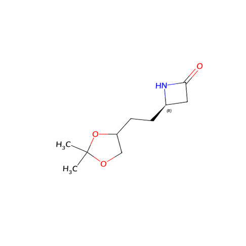 CC1(C)OCC(CC[C@@H]2CC(=O)N2)O1